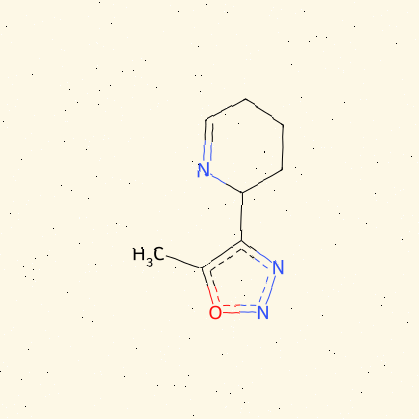 Cc1onnc1C1CCCC=N1